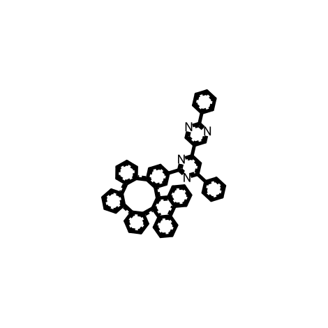 c1ccc(-c2cc(-c3cnc(-c4ccccc4)nc3)nc(-c3ccc4c5ccccc5c5ccccc5c5ccccc5c5c6ccccc6c6ccccc6c5c4c3)n2)cc1